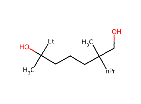 CCCC(C)(CO)CCCC(C)(O)CC